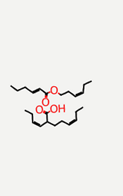 CC/C=C\CCC(/C=C\CC)C(=O)O.CC/C=C\CCOC(=O)C=CCCC